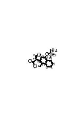 Cc1c2ccccc2c(O[Si](C)(C)C(C)(C)C)c2occ(C(=O)Cl)c12